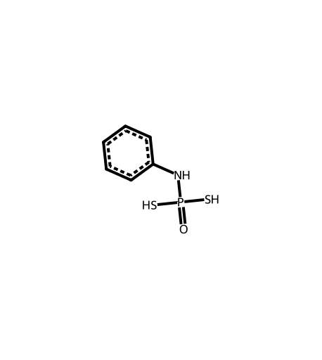 O=P(S)(S)Nc1ccccc1